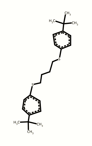 CC(C)(C)c1ccc(SCCCCSc2ccc(C(C)(C)C)cc2)cc1